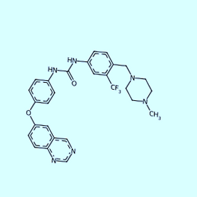 CN1CCN(Cc2ccc(NC(=O)Nc3ccc(Oc4ccc5ncncc5c4)cc3)cc2C(F)(F)F)CC1